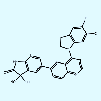 O=C1Nc2ncc(-c3ccc4ncnc(N5CCc6cc(F)c(Cl)cc65)c4c3)cc2C1(O)O